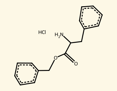 Cl.NC(Cc1ccccc1)C(=O)OCc1ccccc1